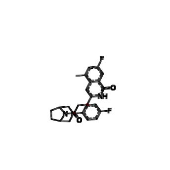 Cc1cc(F)cc2c(=O)[nH]c(CCC(=O)N3C4CCC3CN(c3ccc(F)cc3)C4)cc12